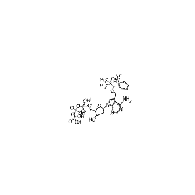 CC(C)(C)[C@H](OCc1cn([C@H]2C[C@@H](O)[C@@H](COP(=O)(O)OP(=O)(O)OP(=O)(O)O)O2)c2ncnc(N)c12)c1ccccc1[N+](=O)[O-]